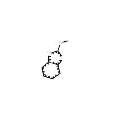 ONc1nc2ccccc2s1